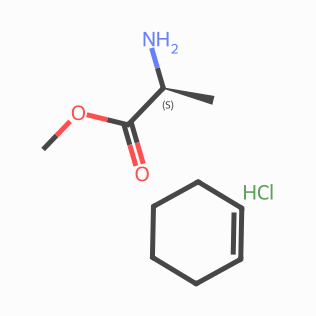 C1=CCCCC1.COC(=O)[C@H](C)N.Cl